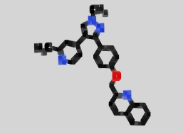 Cc1cc(-c2cn(C)nc2-c2ccc(OCc3ccc4ccccc4n3)cc2)ccn1